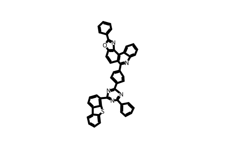 c1ccc(-c2nc(-c3ccc(-c4nc5ccccc5c5c4ccc4oc(-c6ccccc6)nc45)cc3)nc(-c3cccc4c3sc3ccccc34)n2)cc1